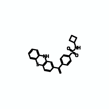 C=C(c1ccc(S(=O)(=O)NC2CCC2)cc1)c1ccc2c(c1)Nc1ccccc1S2